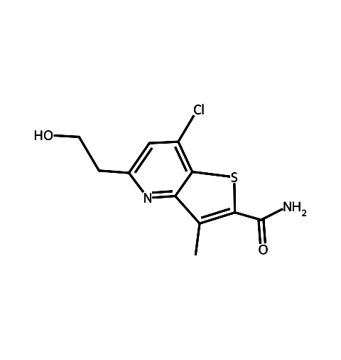 Cc1c(C(N)=O)sc2c(Cl)cc(CCO)nc12